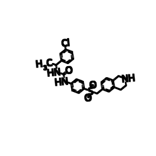 CC(NC(=O)Nc1ccc(S(=O)(=O)Cc2ccc3c(c2)CCNC3)cc1)c1cccc(Cl)c1